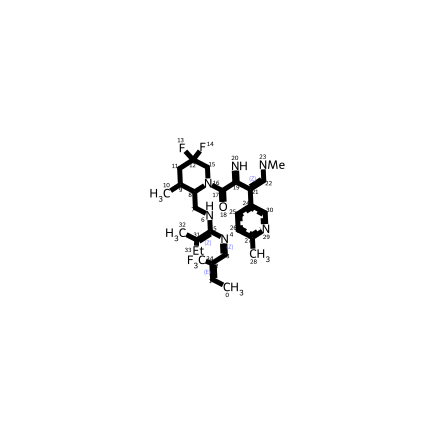 C\C=C(/C=N\C(NCC1C(C)CC(F)(F)CN1C(=O)C(=N)/C(=C\NC)c1ccc(C)nc1)=C(\C)CC)C(F)(F)F